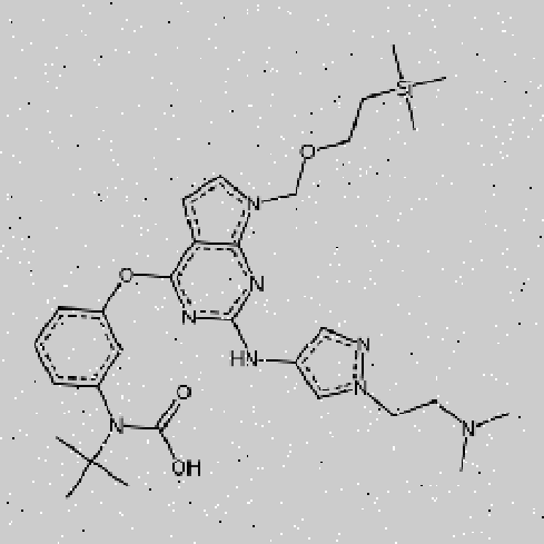 CN(C)CCn1cc(Nc2nc(Oc3cccc(N(C(=O)O)C(C)(C)C)c3)c3ccn(COCC[Si](C)(C)C)c3n2)cn1